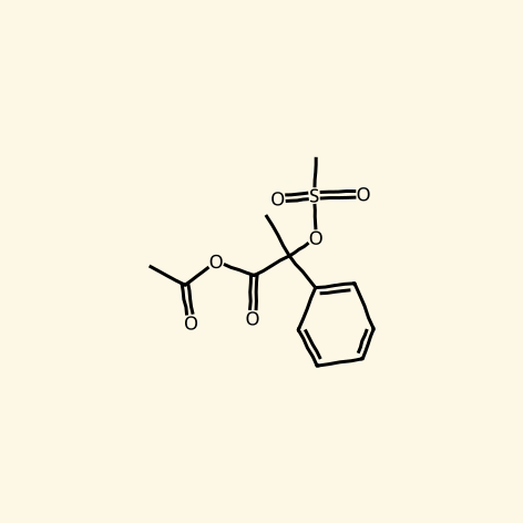 CC(=O)OC(=O)C(C)(OS(C)(=O)=O)c1ccccc1